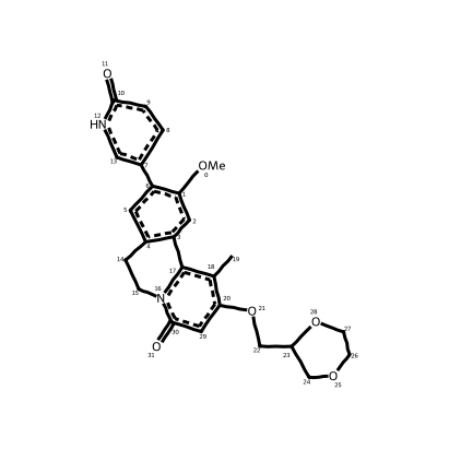 COc1cc2c(cc1-c1ccc(=O)[nH]c1)CCn1c-2c(C)c(OCC2COCCO2)cc1=O